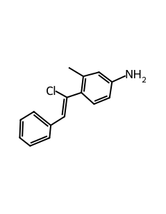 Cc1cc(N)ccc1C(Cl)=Cc1ccccc1